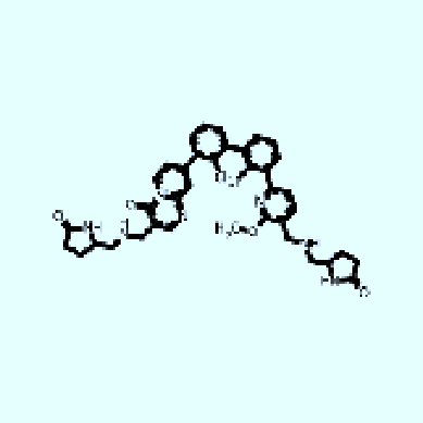 COc1nc(-c2cccc(-c3cccc(-c4ccn5c(=O)c(CNCC6CCC(=O)N6)cnc5c4)c3Cl)c2Cl)ccc1CNCC1CCC(=O)N1